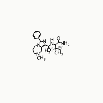 CCC(C)(C)C(NC(=O)c1nc(-c2ccccc2)n2c1CN(C)CCC2)C(N)=O